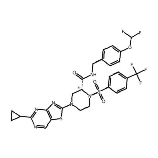 O=C(NCc1ccc(OC(F)F)cc1)[C@H]1CN(c2nc3nc(C4CC4)ncc3s2)CCN1S(=O)(=O)c1ccc(C(F)(F)F)cc1